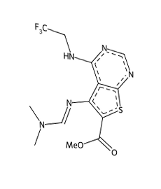 COC(=O)c1sc2ncnc(NCC(F)(F)F)c2c1N=CN(C)C